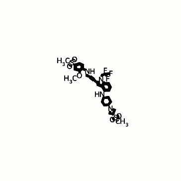 COc1cc(S(C)(=O)=O)ccc1NCC#Cc1cc2c(N[C@H]3CC[C@H](N4CC(S(C)(=O)=O)C4)CC3)cccc2n1CC(F)(F)F